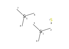 C[Si](C)C.C[Si](C)C.[S]